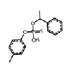 Cc1ccc(OP(O)(=S)OC(C)c2ccccc2)cc1